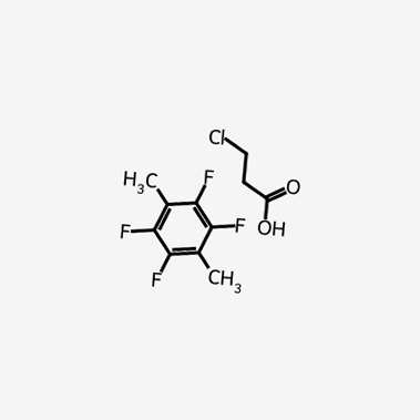 Cc1c(F)c(F)c(C)c(F)c1F.O=C(O)CCCl